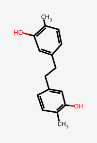 Cc1ccc(CCc2ccc(C)c(O)c2)cc1O